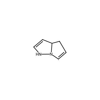 [C]1=CCC2C=CNN12